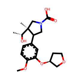 COc1ccc(C2CN(C(=O)O)C[C@]2(C)[C@@H](C)O)cc1O[C@H]1CCOC1